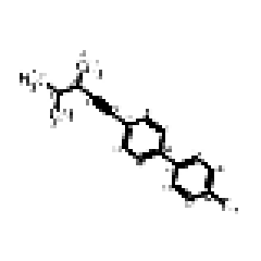 CC(O)C(C)C#Cc1ccc(-c2ccc(F)cc2)cc1